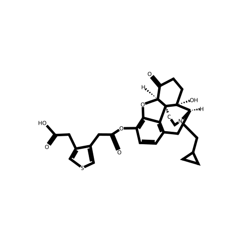 O=C(O)Cc1cscc1CC(=O)Oc1ccc2c3c1O[C@H]1C(=O)CC[C@@]4(O)[C@@H](C2)N(CC2CC2)CC[C@]314